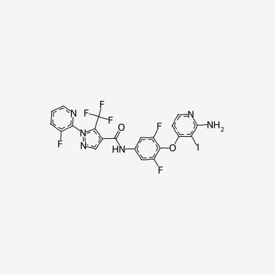 Nc1nccc(Oc2c(F)cc(NC(=O)c3cnn(-c4ncccc4F)c3C(F)(F)F)cc2F)c1I